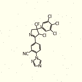 N#Cc1cc(C2=NCC(c3cc(Cl)c(Cl)c(Cl)c3)(C(F)(F)F)C2Cl)ccc1-n1cncn1